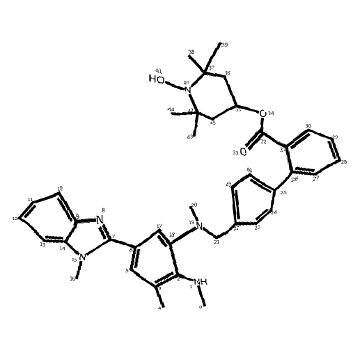 CNc1c(C)cc(-c2nc3ccccc3n2C)cc1N(C)Cc1ccc(-c2ccccc2C(=O)OC2CC(C)(C)N(O)C(C)(C)C2)cc1